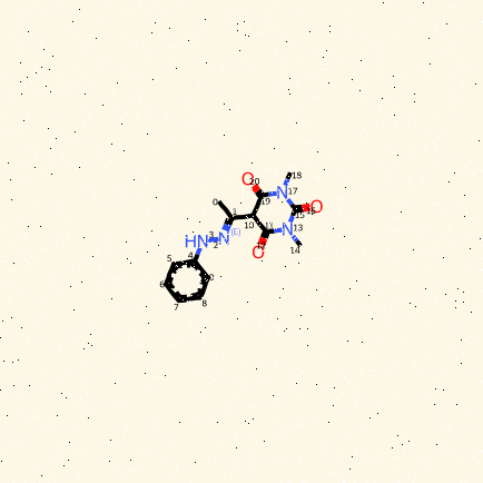 C/C(=N\Nc1ccccc1)C1C(=O)N(C)C(=O)N(C)C1=O